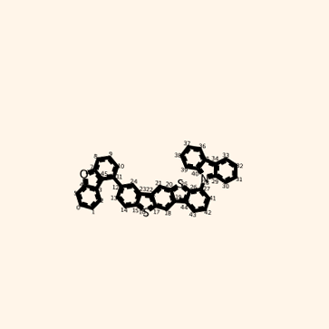 c1ccc2c(c1)oc1cccc(-c3ccc4sc5cc6c(cc5c4c3)sc3c(-n4c5ccccc5c5ccccc54)cccc36)c12